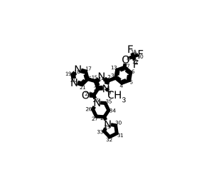 Cn1c(-c2cccc(OC(F)(F)F)c2)nc(-c2cncnc2)c1C(=O)N1CCC(N2CCCC2)CC1